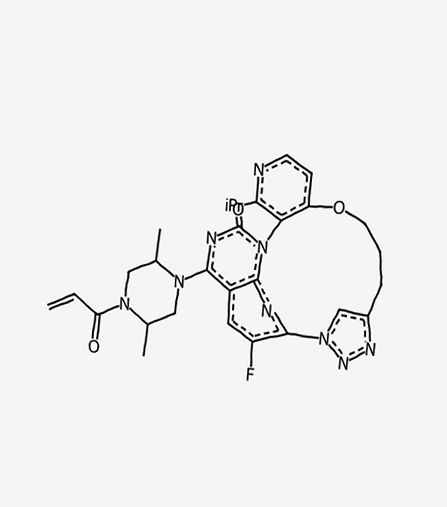 C=CC(=O)N1CC(C)N(c2nc(=O)n3c4nc(c(F)cc24)-n2cc(nn2)CCCOc2ccnc(C(C)C)c2-3)CC1C